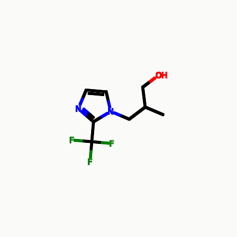 CC(CO)Cn1ccnc1C(F)(F)F